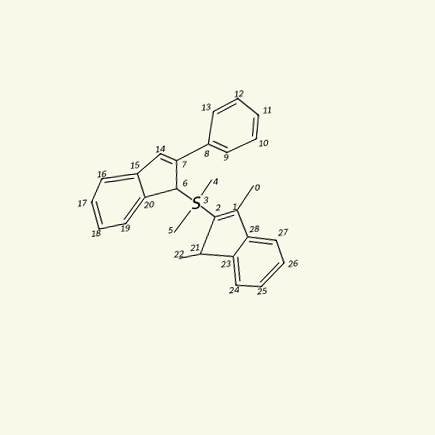 CC1=C(S(C)(C)C2C(c3ccccc3)=Cc3ccccc32)C(C)c2ccccc21